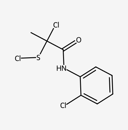 CC(Cl)(SCl)C(=O)Nc1ccccc1Cl